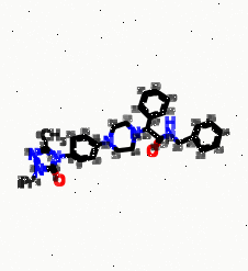 Cc1nn(C(C)C)c(=O)n1-c1ccc(N2CCN(C(C(=O)NCc3ccccc3)c3ccccc3)CC2)cc1